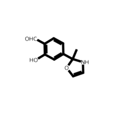 CC1(c2ccc(C=O)c(O)c2)NC=CO1